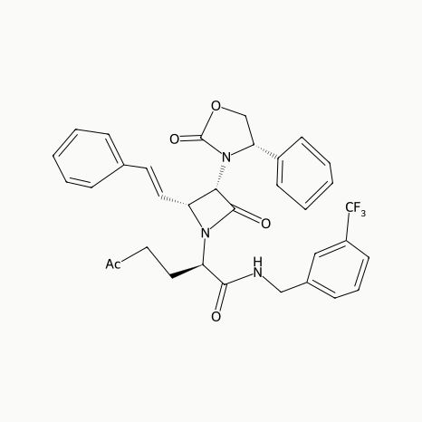 CC(=O)CC[C@H](C(=O)NCc1cccc(C(F)(F)F)c1)N1C(=O)[C@@H](N2C(=O)OC[C@@H]2c2ccccc2)[C@H]1/C=C/c1ccccc1